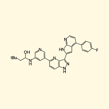 CC(C)(C)CC(O)Nc1cncc(-c2ccc3[nH]nc(-c4cc5c(-c6ccc(F)cc6)ccnc5[nH]4)c3n2)c1